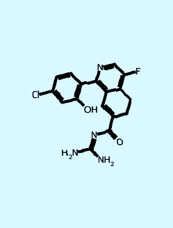 NC(N)=NC(=O)C1=Cc2c(-c3ccc(Cl)cc3O)ncc(F)c2CC1